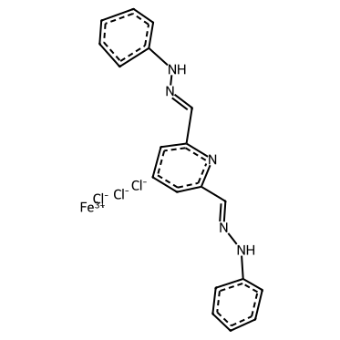 C(=NNc1ccccc1)c1cccc(C=NNc2ccccc2)n1.[Cl-].[Cl-].[Cl-].[Fe+3]